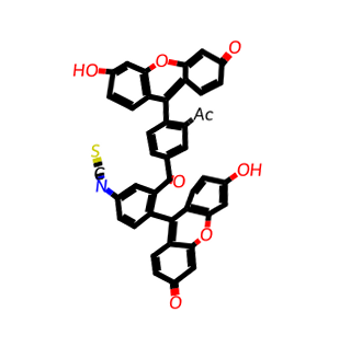 CC(=O)c1cc(C(=O)c2cc(N=C=S)ccc2-c2c3ccc(=O)cc-3oc3cc(O)ccc23)ccc1-c1c2ccc(=O)cc-2oc2cc(O)ccc12